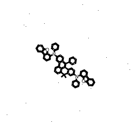 CC1(C)c2cc(N(c3ccccc3)c3cccc4c3oc3ccccc34)ccc2-c2c(-c3ccccc3)c3ccc(N(c4ccccc4)c4cccc5c4oc4ccccc45)cc3c3cccc1c23